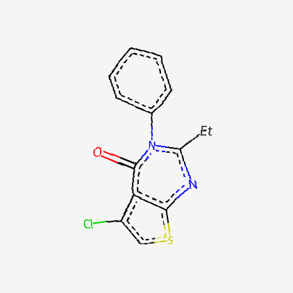 CCc1nc2scc(Cl)c2c(=O)n1-c1ccccc1